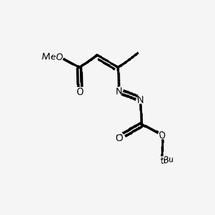 COC(=O)/C=C(/C)N=NC(=O)OC(C)(C)C